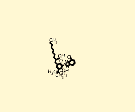 CCCCCCCCC(Cc1cc(-n2nc3cccc(Cl)c3n2)c(O)c(C(C)(C)C)c1)C(=O)O